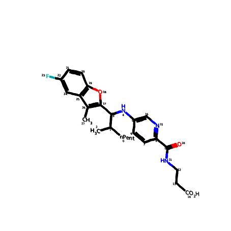 CCCCCC(C)C(Nc1ccc(C(=O)NCCC(=O)O)nc1)c1oc2ccc(F)cc2c1C